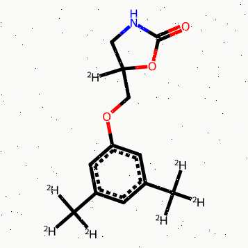 [2H]C1(COc2cc(C([2H])([2H])[2H])cc(C([2H])([2H])[2H])c2)CNC(=O)O1